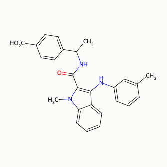 Cc1cccc(Nc2c(C(=O)NC(C)c3ccc(C(=O)O)cc3)n(C)c3ccccc23)c1